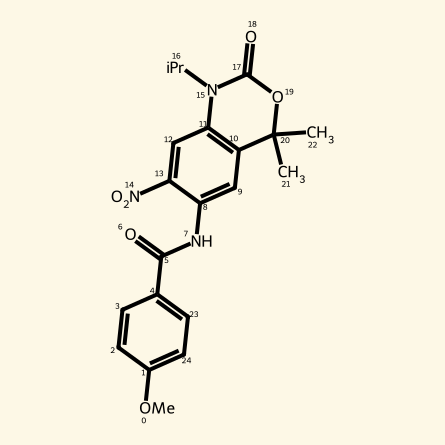 COc1ccc(C(=O)Nc2cc3c(cc2[N+](=O)[O-])N(C(C)C)C(=O)OC3(C)C)cc1